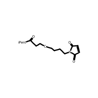 CCCC(C)C(=O)CCCCCCCN1C(=O)C=CC1=O